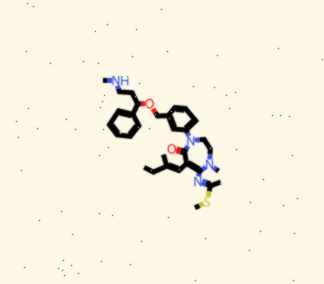 CC/C(C)=C/C1=C(/N=C(\C)SC)N(C)CCN(c2cccc(COC(CCNC)c3ccccc3)c2)C1=O